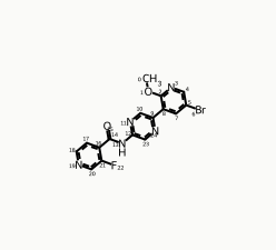 COc1ncc(Br)cc1-c1cnc(NC(=O)c2ccncc2F)cn1